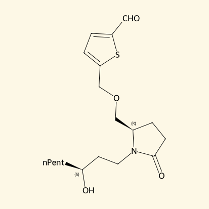 CCCCC[C@H](O)CCN1C(=O)CC[C@@H]1COCc1ccc(C=O)s1